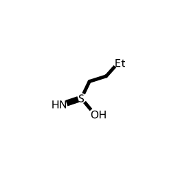 CCCCS(=N)O